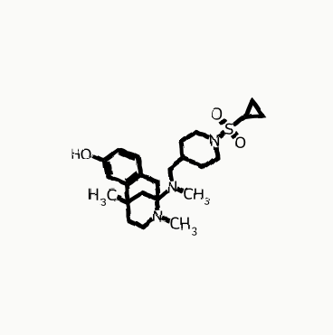 CN1CCC2(C)CC1(N(C)CC1CCN(S(=O)(=O)C3CC3)CC1)Cc1ccc(O)cc12